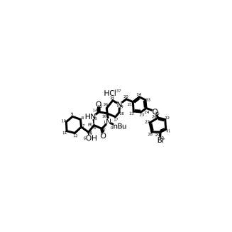 CCCCN1C(=O)[C@@H]([C@H](O)C2CCCCC2)NC(=O)C12CCN(Cc1ccc(Oc3ccc(Br)cc3)cc1)CC2.Cl